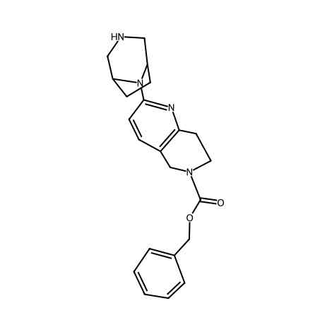 O=C(OCc1ccccc1)N1CCc2nc(N3C4CCC3CNC4)ccc2C1